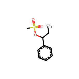 CS(=O)(=O)OC(CC(F)(F)F)c1ccccc1